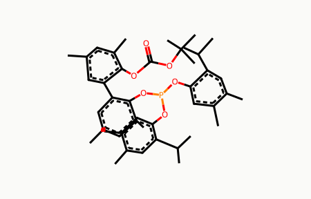 Cc1cc(C)c(OC(=O)OC(C)(C)C)c(-c2cc(C)cc(C)c2OP(Oc2cc(C)c(C)cc2C(C)C)Oc2cc(C)c(C)cc2C(C)C)c1